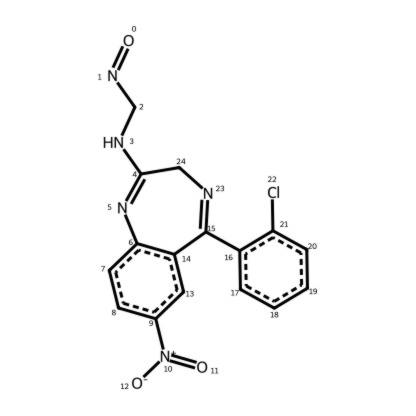 O=NCNC1=Nc2ccc([N+](=O)[O-])cc2C(c2ccccc2Cl)=NC1